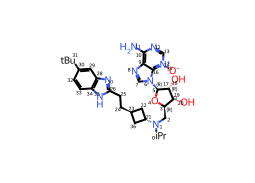 CC(C)N(C[C@H]1O[C@@H](n2cnc3c(N)nc[n+]([O-])c32)[C@H](O)[C@@H]1O)[C@H]1C[C@H](CCc2nc3cc(C(C)(C)C)ccc3[nH]2)C1